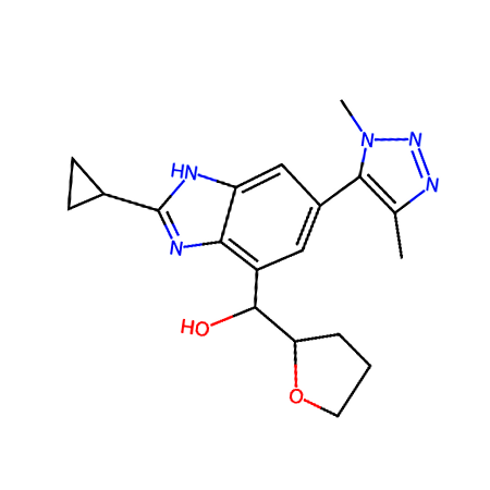 Cc1nnn(C)c1-c1cc(C(O)C2CCCO2)c2nc(C3CC3)[nH]c2c1